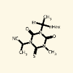 CCCCCCC(C)(CC)n1c(=O)n(C)c(=S)n(C(C)C#N)c1=O